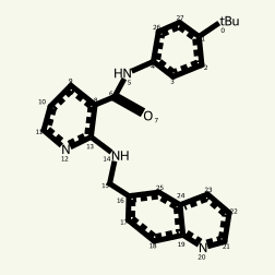 CC(C)(C)c1ccc(NC(=O)c2cccnc2NCc2ccc3ncccc3c2)cc1